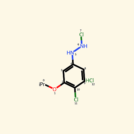 CC(C)Oc1cc(NNCl)ccc1Cl.Cl